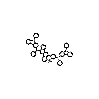 C[Si]1(C)c2cc(N(c3ccccc3)c3ccc4c(c3)C3C=CC=CC3N4c3ccccc3)ccc2-c2cc3c4ccccc4c(N(c4ccccc4)c4ccc5c(c4)c4ccccc4n5-c4ccccc4)cc3c3cccc1c23